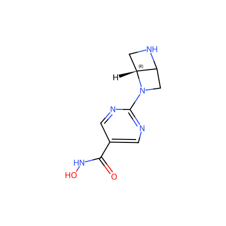 O=C(NO)c1cnc(N2CC3NC[C@H]32)nc1